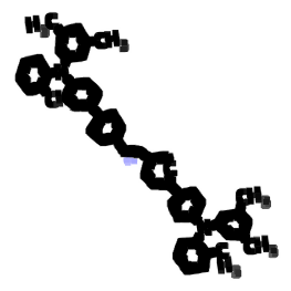 Cc1cc(C)cc(N(c2ccc(-c3ccc(/C=C/c4ccc(-c5ccc(N(c6cc(C)cc(C)c6)c6ccccc6C)cc5)cc4)cc3)cc2)c2ccccc2C)c1